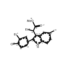 CCc1cc(-c2[nH]c3ccc(I)cc3c2C(CC)C(=O)OC)ccc1Cl